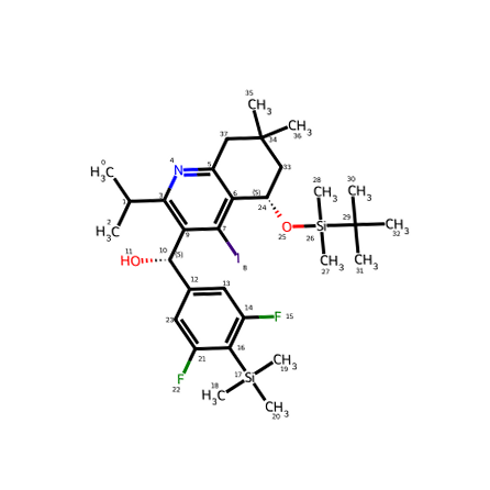 CC(C)c1nc2c(c(I)c1[C@@H](O)c1cc(F)c([Si](C)(C)C)c(F)c1)[C@@H](O[Si](C)(C)C(C)(C)C)CC(C)(C)C2